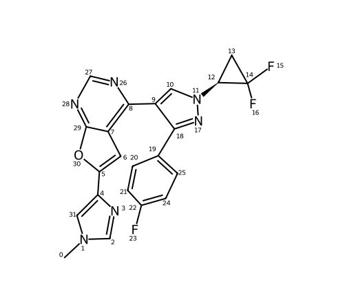 Cn1cnc(-c2cc3c(-c4cn([C@H]5CC5(F)F)nc4-c4ccc(F)cc4)ncnc3o2)c1